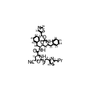 CC(C)c1nc(CN(C)C(=O)N[C@@H](CCC#N)C(=O)N[C@H](CC[C@H](Cc2ccccc2)NC(=O)OCc2cncs2)Cc2ccccc2)cs1